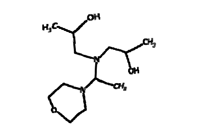 CC(O)CN(CC(C)O)C(C)N1CCOCC1